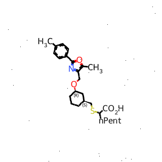 CCCCCC(SC[C@H]1CCC[C@@H](OCc2nc(-c3ccc(C)cc3)oc2C)C1)C(=O)O